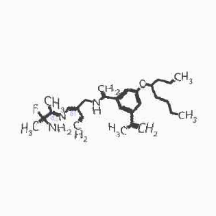 C=C/C(=C\N=C(/C)C(C)(N)F)CNC(=C)c1cc(OC(CCC)CCCC)cc(C(=C)C)c1